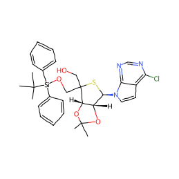 CC1(C)O[C@H]2[C@H](n3ccc4c(Cl)ncnc43)SC(CO)(CO[Si](c3ccccc3)(c3ccccc3)C(C)(C)C)[C@H]2O1